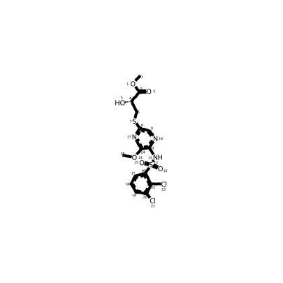 COC(=O)[C@@H](O)CSc1cnc(NS(=O)(=O)c2cccc(Cl)c2Cl)c(OC)n1